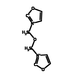 [c-]1occ[n+]1[SiH2]O[SiH2][n+]1[c-]occ1